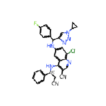 N#CC[C@H](Nc1c(C#N)cnc2c(Cl)cc(NC(c3ccc(F)cc3)c3cn(C4CC4)nn3)cc12)c1ccccc1